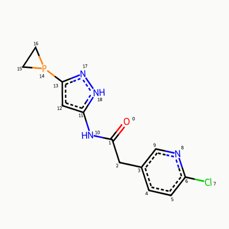 O=C(Cc1ccc(Cl)nc1)Nc1cc(P2CC2)n[nH]1